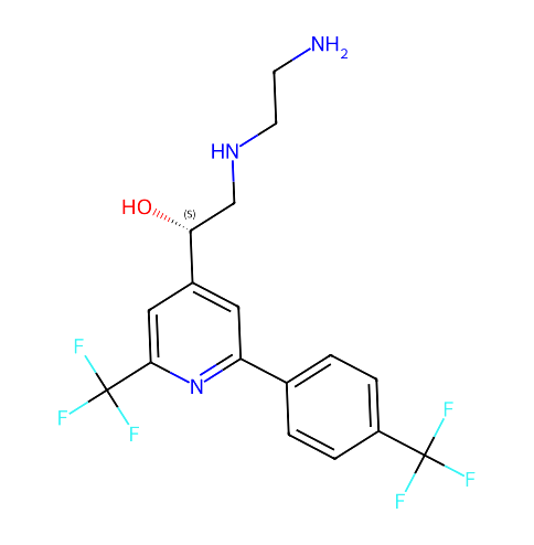 NCCNC[C@@H](O)c1cc(-c2ccc(C(F)(F)F)cc2)nc(C(F)(F)F)c1